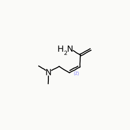 C=C(N)/C=C\CN(C)C